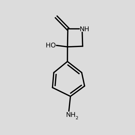 C=C1NCC1(O)c1ccc(N)cc1